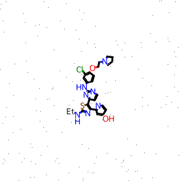 CCNc1nc(-c2cc(O)ccn2)c(-c2ccnc(Nc3ccc(OCCN4CCCC4)c(Cl)c3)n2)s1